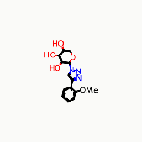 COc1ccccc1-c1cn(C2OCC(O)C(O)C2O)nn1